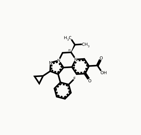 CC(C)[C@@H]1Cn2nc(C3CC3)c(-c3ccccc3F)c2-c2cc(=O)c(C(=O)O)cn21